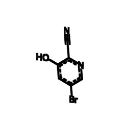 N#Cc1ncc(Br)cc1O